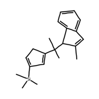 CC1=Cc2ccccc2C1C(C)(C)C1=CC([Si](C)(C)C)=CC1